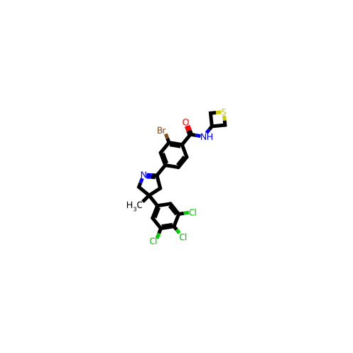 CC1(c2cc(Cl)c(Cl)c(Cl)c2)CN=C(c2ccc(C(=O)NC3CSC3)c(Br)c2)C1